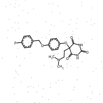 CN(C)CCC1(Oc2ccc(OCc3ccc(F)cc3)cc2)C(=O)NC(=O)NC1=O